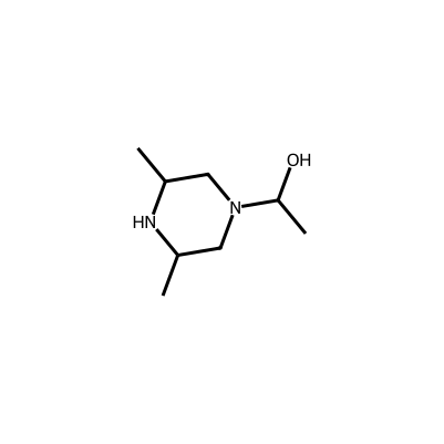 CC1CN(C(C)O)CC(C)N1